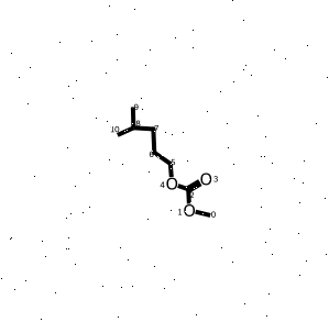 COC(=O)OCCCC(C)C